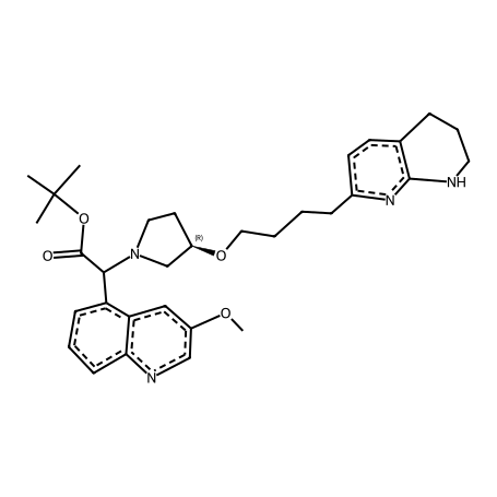 COc1cnc2cccc(C(C(=O)OC(C)(C)C)N3CC[C@@H](OCCCCc4ccc5c(n4)NCCC5)C3)c2c1